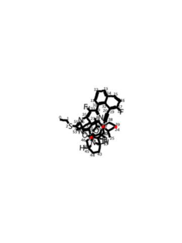 CCSc1nc2c3c(nc(-c4cccc5ccc(F)c(C#C[Si](C(C)C)(C(C)C)C(C)C)c45)c(F)c3n1)[C@@H](CC)C[C@@H]1[C@@H]3CC[C@H](CN21)N3C(=O)OC(C)(C)C